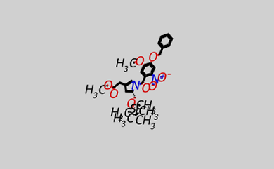 COC(=O)CC1=CN(C(=O)c2cc(OC)c(OCc3ccccc3)cc2[N+](=O)[O-])[C@H](CO[Si](C)(C)C(C)(C)C)C1